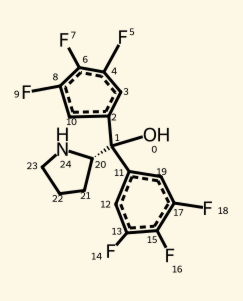 OC(c1cc(F)c(F)c(F)c1)(c1cc(F)c(F)c(F)c1)[C@@H]1CCCN1